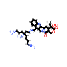 CC[C@@]1(O)C(=O)OCc2c1cc1n(c2=O)Cc2c-1nc1ccccc1c2C=NCCC(N)(CCCN)CCCCN